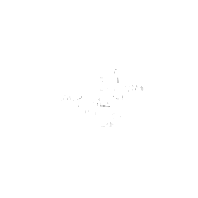 COC(=O)C1(NC(=NO)OC(C)(C)C)CC1CC=NO